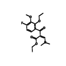 CCOC(=O)/C(=C\N(C)C)C(=O)c1ccc(F)c(OC)c1OCC